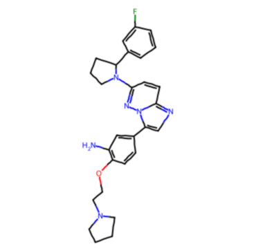 Nc1cc(-c2cnc3ccc(N4CCCC4c4cccc(F)c4)nn23)ccc1OCCN1CCCC1